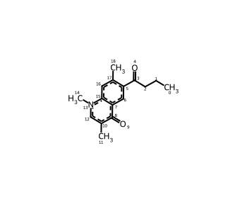 CCCC(=O)c1cc2c(=O)c(C)cn(C)c2cc1C